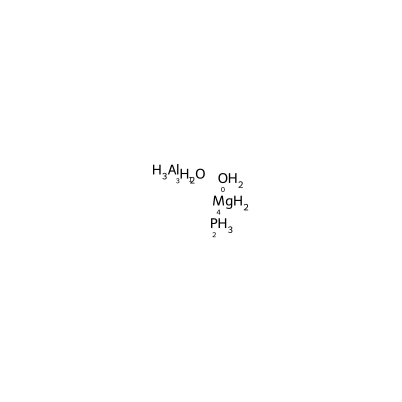 O.O.P.[AlH3].[MgH2]